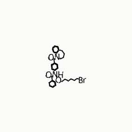 O=C(Nc1ccc(C(=O)N2CCCCc3ccccc32)cc1)c1ccccc1OCCCCCCBr